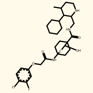 CC1CCNC(CNC(=O)C23CCC(NC(=O)COc4ccc(Cl)c(F)c4)(CC2)CC3O)C1C1CCCCC1